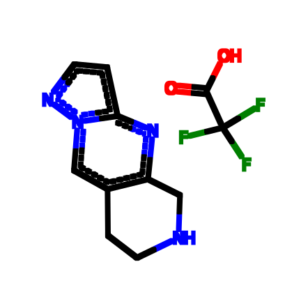 O=C(O)C(F)(F)F.c1cc2nc3c(cn2n1)CCNC3